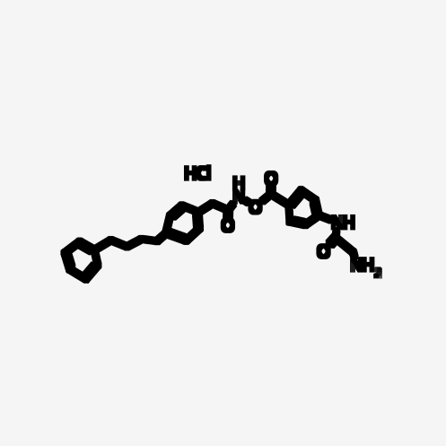 Cl.NCC(=O)Nc1ccc(C(=O)ONC(=O)Cc2ccc(CCCCc3ccccc3)cc2)cc1